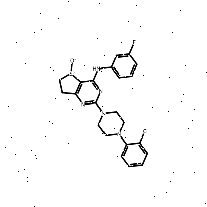 [O-][S+]1CCc2nc(N3CCN(c4ccccc4Cl)CC3)nc(Nc3cccc(F)c3)c21